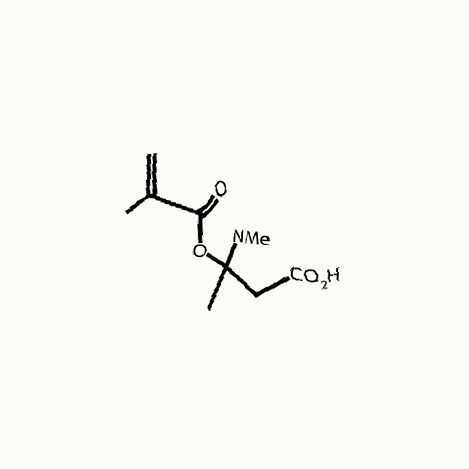 C=C(C)C(=O)OC(C)(CC(=O)O)NC